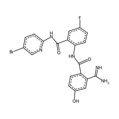 N=C(N)c1cc(O)ccc1C(=O)Nc1ccc(F)cc1C(=O)Nc1ccc(Br)cn1